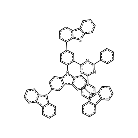 c1ccc(-c2nc(-c3ccccc3)nc(-c3cc(-c4cccc5c4sc4ccccc45)ccc3-n3c4ccc(-n5c6ccccc6c6ccccc65)cc4c4cc(-n5c6ccccc6c6ccccc65)ccc43)n2)cc1